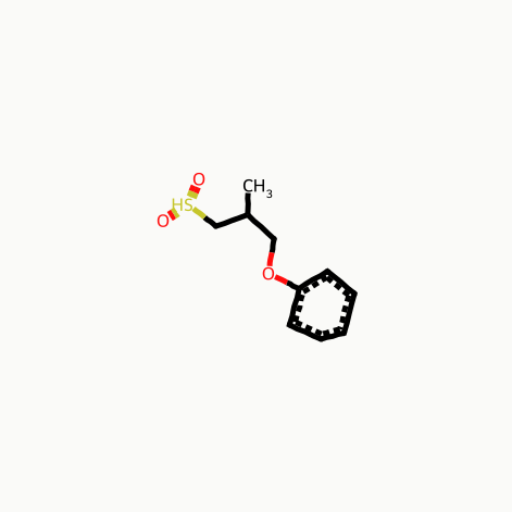 CC(COc1ccccc1)C[SH](=O)=O